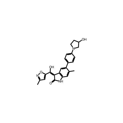 Cc1cc(C(O)=C2C(=O)Nc3cc(C)c(-c4ccc(N5CCC(O)C5)cc4)cc32)on1